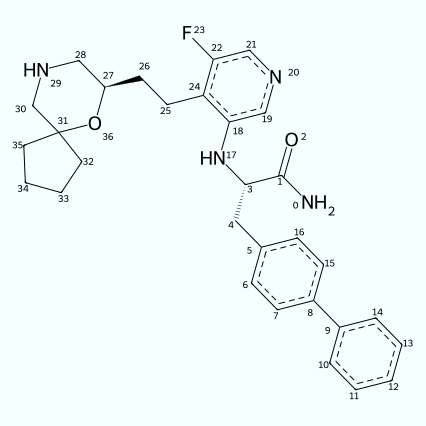 NC(=O)[C@H](Cc1ccc(-c2ccccc2)cc1)Nc1cncc(F)c1CC[C@@H]1CNCC2(CCCC2)O1